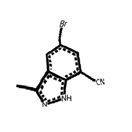 Cc1n[nH]c2c(C#N)cc(Br)cc12